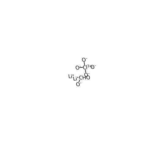 O=C[O-].[Li+].[Li+].[O-][Cl+3]([O-])([O-])[O-]